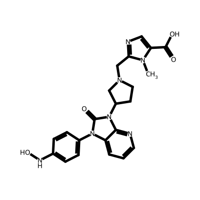 Cn1c(C(=O)O)cnc1CN1CCC(n2c(=O)n(-c3ccc(NO)cc3)c3cccnc32)C1